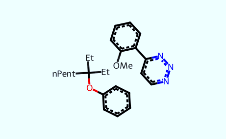 CCCCCC(CC)(CC)Oc1ccccc1.COc1ccccc1-c1ccnnn1